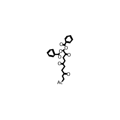 CC(=O)CCC(=O)CCC(=O)CCC(=O)C(OC(=O)c1ccccc1)OC(=O)c1ccccc1